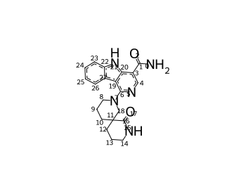 NC(=O)c1cnc(N2CCCC3(CCCNC3=O)C2)c2c1[nH]c1ccccc12